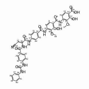 COc1c(NC(=O)c2ccc(NC(=O)c3ccc(NC(=O)[C@H](CC#N)NC(=O)c4ccc(NC(=O)Nc5ccccc5)cc4)cc3)c(OC)c2O)ccc(C(=O)O)c1O